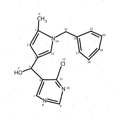 Cc1cc(C(O)c2cncnc2Cl)cn1Cc1ccccc1